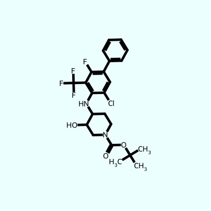 CC(C)(C)OC(=O)N1CCC(Nc2c(Cl)cc(-c3ccccc3)c(F)c2C(F)(F)F)C(O)C1